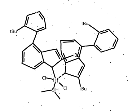 CCC(C)C1=Cc2c(-c3ccccc3C(C)(C)C)cccc2[CH]1[Hf]([Cl])([Cl])([CH]1C(C(C)CC)=Cc2c(-c3ccccc3C(C)(C)C)cccc21)[SiH](C)C